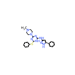 CN1CCN(C2=NC(Sc3ccccc3)NC(Nc3cc(-c4ccccc4)[nH]n3)=N2)CC1